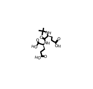 CC(C)(C)N[C@@H](CCC(=O)O)C(=O)N[C@@H](CCC(=O)O)C(=O)O